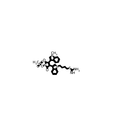 Cn1cc(C2=C(c3cn(CCCCSC(=N)N)c4ccccc34)C(=O)N(OS(C)(=O)=O)C2=O)c2ccccc21